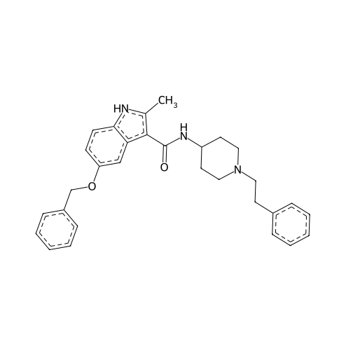 Cc1[nH]c2ccc(OCc3ccccc3)cc2c1C(=O)NC1CCN(CCc2ccccc2)CC1